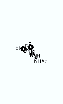 CCc1ccc(Nc2c(-c3nnc(NCCNC(C)=O)o3)ccc(F)c2F)c(F)c1